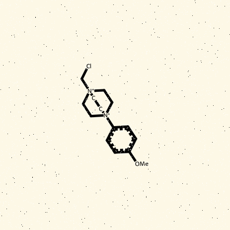 COc1ccc([N+]23CC[N+](CCl)(CC2)CC3)cc1